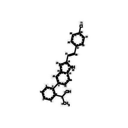 CC(O)c1ccccc1-c1ccc2[nH]c(C=Cc3ccc(Cl)cc3)nc2c1